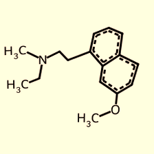 CCN(C)CCc1cccc2ccc(OC)cc12